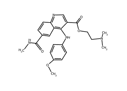 CNC(=O)c1ccc2ncc(C(=O)OCCN(C)C)c(Nc3ccc(OC)cc3)c2c1